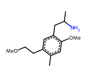 COCCc1cc(CC(C)N)c(OC)cc1C